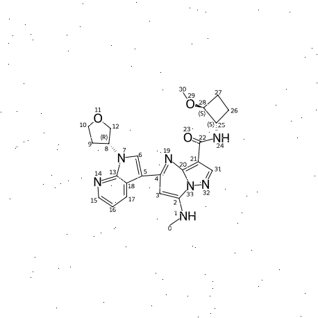 CNc1cc(-c2cn([C@@H]3CCOC3)c3ncccc23)nc2c(C(=O)N[C@H]3CC[C@@H]3OC)cnn12